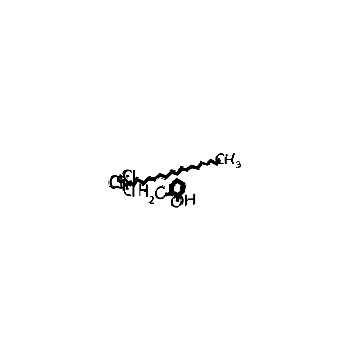 C=Cc1ccccc1O.CCCCCCCCCCCCCCCCCC[Si](Cl)(Cl)Cl